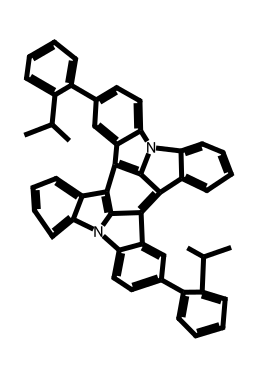 CC(C)c1ccccc1-c1ccc2c(c1)c1c3c4ccccc4n4c5ccc(-c6ccccc6C(C)C)cc5c(c5c6ccccc6n2c51)c34